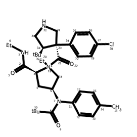 CCNC(=O)[C@@H]1C[C@H](N(C(=O)C(C)(C)C)c2ccc(C)cc2)C[N+]1(CC)C(=O)[C@@]1(c2ccc(Cl)cc2)CNC[C@@H]1C(C)(C)C